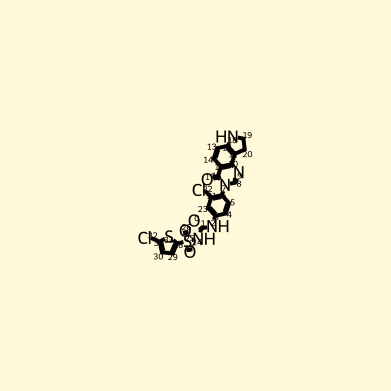 O=C(Nc1ccc(-n2cnc3c4c(ccc3c2=O)NCC4)c(Cl)c1)NS(=O)(=O)c1ccc(Cl)s1